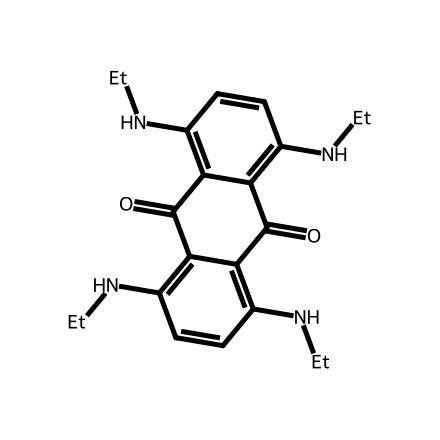 CCNc1ccc(NCC)c2c1C(=O)c1c(NCC)ccc(NCC)c1C2=O